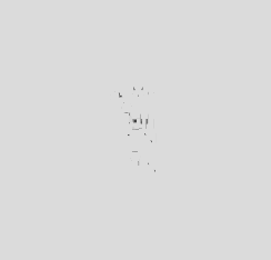 COC(=O)c1ccc(NCC(C(=O)CCc2ccc(C#N)cc2)C2(O)CCNCC2)cc1